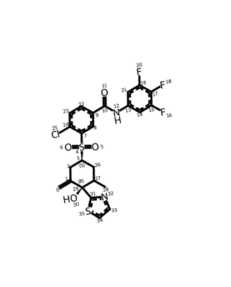 C=C1C[C@@H](S(=O)(=O)c2cc(C(=O)Nc3cc(F)c(F)c(F)c3)ccc2Cl)CC(C)[C@]1(O)c1nccs1